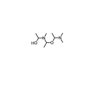 CC(OC(C)N(C)C(C)O)N(C)C